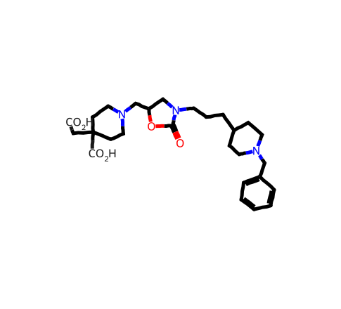 O=C(O)CC1(C(=O)O)CCN(CC2CN(CCCC3CCN(Cc4ccccc4)CC3)C(=O)O2)CC1